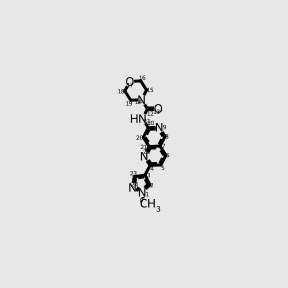 Cn1cc(-c2ccc3cnc(NC(=O)N4CCOCC4)cc3n2)cn1